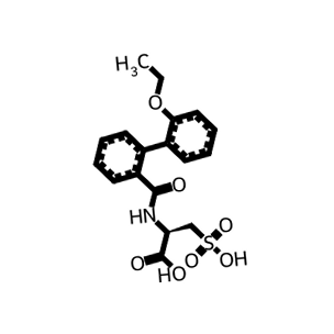 CCOc1ccccc1-c1ccccc1C(=O)N[C@@H](CS(=O)(=O)O)C(=O)O